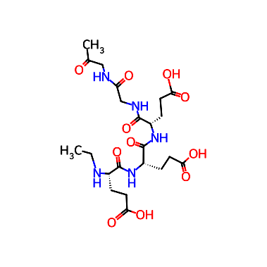 CCN[C@@H](CCC(=O)O)C(=O)N[C@@H](CCC(=O)O)C(=O)N[C@@H](CCC(=O)O)C(=O)NCC(=O)NCC(C)=O